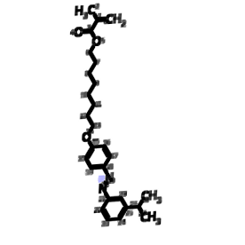 C=C(C)C(=O)OCCCCCCCCOc1ccc(/N=N/c2cccc(C(C)C)c2)cc1